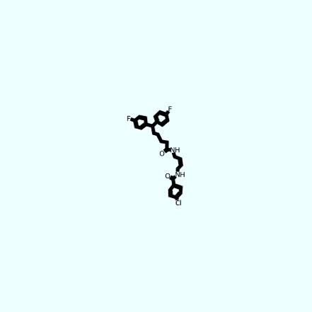 O=C(CCCCC(c1ccc(F)cc1)c1ccc(F)cc1)NC/C=C\CNC(=O)c1ccc(Cl)cc1